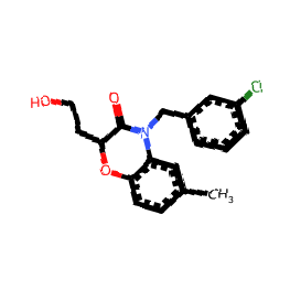 Cc1ccc2c(c1)N(Cc1cccc(Cl)c1)C(=O)C(CCO)O2